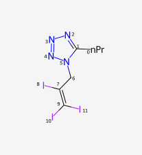 CCCc1nnnn1CC(I)=C(I)I